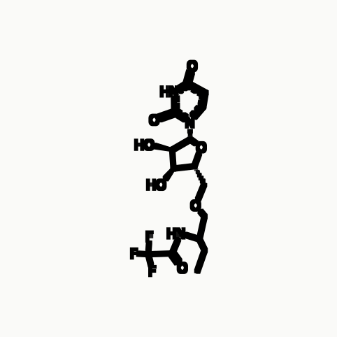 CCC(COC[C@H]1O[C@@H](n2ccc(=O)[nH]c2=O)[C@H](O)[C@@H]1O)NC(=O)C(F)(F)F